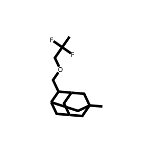 CC(F)(F)COCC1C2CC3CC1CC(C)(C3)C2